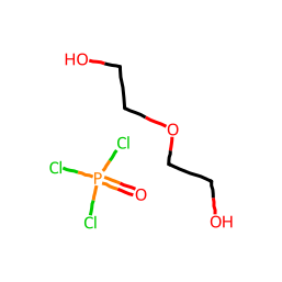 O=P(Cl)(Cl)Cl.OCCOCCO